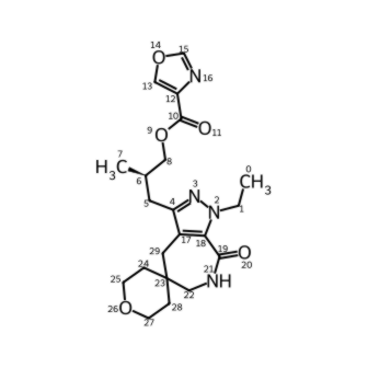 CCn1nc(C[C@@H](C)COC(=O)c2cocn2)c2c1C(=O)NCC1(CCOCC1)C2